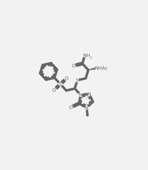 CC(=O)N[C@@H](CSC(CS(=O)(=O)c1ccccc1)n1ncn(C)c1=O)C(N)=O